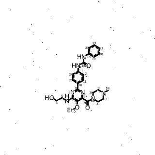 CCOc1c(NCCO)nc(-c2ccc(NC(=O)Nc3ccccc3)cc2)nc1C(=O)N1CCN(C)CC1